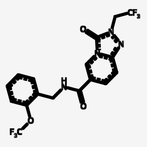 O=C(NCc1ccccc1OC(F)(F)F)c1ccc2nn(CC(F)(F)F)c(=O)n2c1